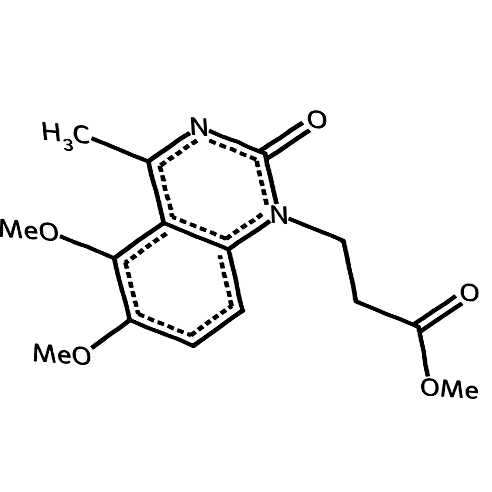 COC(=O)CCn1c(=O)nc(C)c2c(OC)c(OC)ccc21